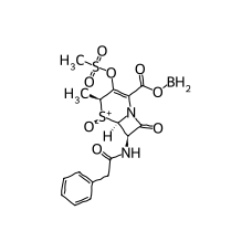 BOC(=O)C1=C(OS(C)(=O)=O)[C@H](C)[S@+]([O-])[C@@H]2[C@H](NC(=O)Cc3ccccc3)C(=O)N12